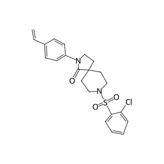 C=Cc1ccc(N2CCC3(CCN(S(=O)(=O)c4ccccc4Cl)CC3)C2=O)cc1